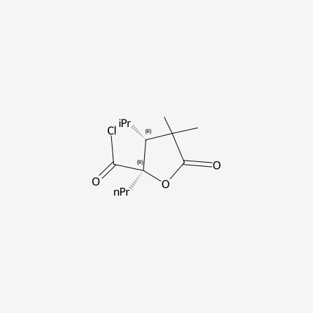 CCC[C@@]1(C(=O)Cl)OC(=O)C(C)(C)[C@H]1C(C)C